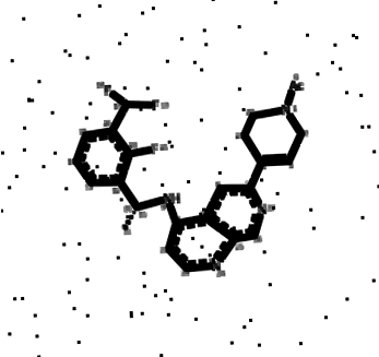 CC(=O)N1CC=C(c2cc3c(N[C@H](C)c4cccc(C(F)F)c4F)ccnc3cn2)CC1